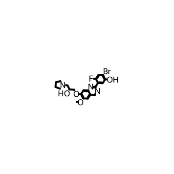 COc1cc2cnc(-c3cc(O)c(Br)cc3F)nc2cc1OCC(O)CN1CCCC1